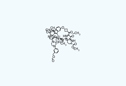 CCO[C@H](C1CC(Oc2ccc3c(c2)c(CC(C)(C)CO)c(-c2cc(N4CCN(c5cccc(COC=O)c5)CC4)cnc2[C@H](C)OC)n3CC)C1)[C@H](NC(=O)C1[C@@H](C)[C@H]1C)C(=O)N1CCC[C@@H](C(=O)OC)N1